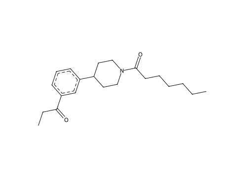 CCCCCCC(=O)N1CCC(c2cccc(C(=O)CC)c2)CC1